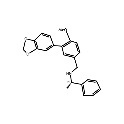 COc1ccc(CN[C@H](C)c2ccccc2)cc1-c1ccc2c(c1)OCO2